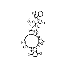 CCCN(C(=O)[C@H](CCOC)NC(=O)[C@@H]1C[C@@H](F)CN1C(=O)C1(C(F)(F)F)CCCCC1)[C@H]1CCCCNC(=O)[C@@H](C)NC(=O)[C@H](Cc2cc(Cl)ccc2Cl)N(C)C(=O)[C@H](CC(C)C)NC1=O